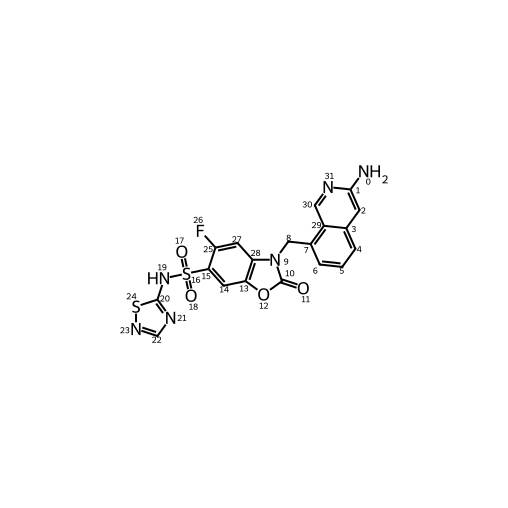 Nc1cc2cccc(Cn3c(=O)oc4cc(S(=O)(=O)Nc5ncns5)c(F)cc43)c2cn1